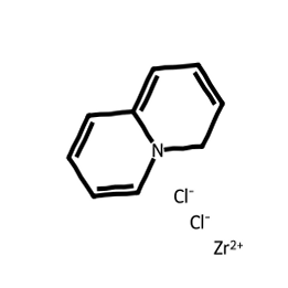 C1=CCN2C=CC=CC2=C1.[Cl-].[Cl-].[Zr+2]